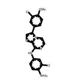 COc1ccc(-c2cnc3c(Nc4ccc(NC(C)=O)c(Cl)c4)nccn23)cc1Cl